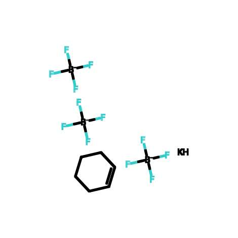 C1=CCCCC1.F[B-](F)(F)F.F[B-](F)(F)F.F[B-](F)(F)F.[KH]